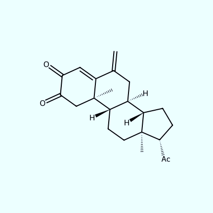 C=C1C[C@H]2[C@@H]3CC[C@H](C(C)=O)[C@@]3(C)CC[C@@H]2[C@@]2(C)CC(=O)C(=O)C=C12